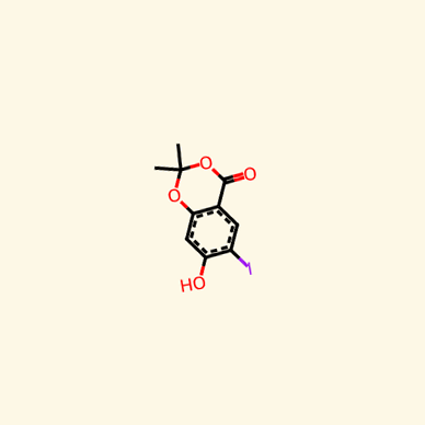 CC1(C)OC(=O)c2cc(I)c(O)cc2O1